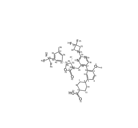 COc1ccc(C2CCC(C(=O)O)CC2)cc1-c1cnc(N2CC(F)(F)C2)nc1CN1C(=O)O[C@H](c2cc(C)cc(C(F)(F)F)c2)[C@@H]1C